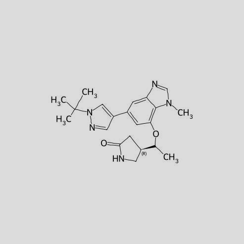 CC(Oc1cc(-c2cnn(C(C)(C)C)c2)cc2ncn(C)c12)[C@H]1CNC(=O)C1